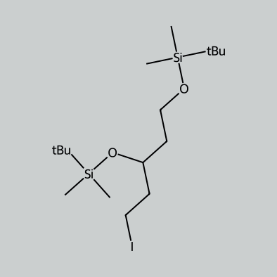 CC(C)(C)[Si](C)(C)OCCC(CCI)O[Si](C)(C)C(C)(C)C